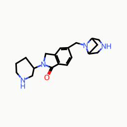 O=C1c2ccc(CN3C4CNCC3C4)cc2CN1C1CCCNC1